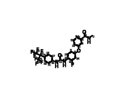 CNC(=O)c1cc(Oc2ccc(NC(=O)Nc3ccc(C(F)(C(F)(F)F)C(F)(F)F)cc3)c(F)c2)ccn1